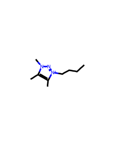 CCCC[n+]1nn(C)c(C)c1C